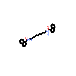 O=C(NCCCCCCCCCCCNC(=O)c1cccc2ccccc12)c1cccc2ccccc12